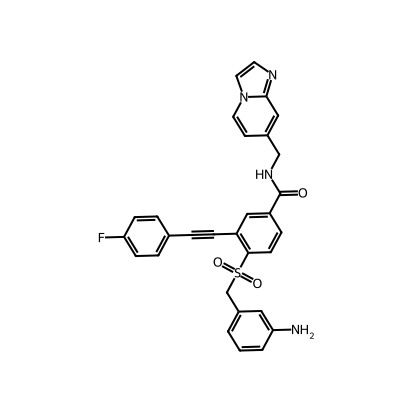 Nc1cccc(CS(=O)(=O)c2ccc(C(=O)NCc3ccn4ccnc4c3)cc2C#Cc2ccc(F)cc2)c1